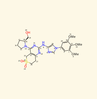 COc1cc(-n2cnc(Nc3nc4c(c(N5CCC[C@H]5CO)n3)CS(=O)(=O)CC4)c2)cc(OC)c1OC